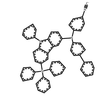 [C-]#[N+]c1ccc(N(c2ccc(-c3ccccc3)cc2)c2ccc3c(c2)c2cc([Si](c4ccccc4)(c4ccccc4)c4ccccc4)ccc2n3-c2ccccc2)cc1